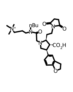 CCCCN(CCC[N+](C)(C)C)C(=O)CN1C[C@H](c2ccc3c(c2)CCO3)[C@@H](C(=O)O)[C@@H]1CCN1C(=O)CCC1=O